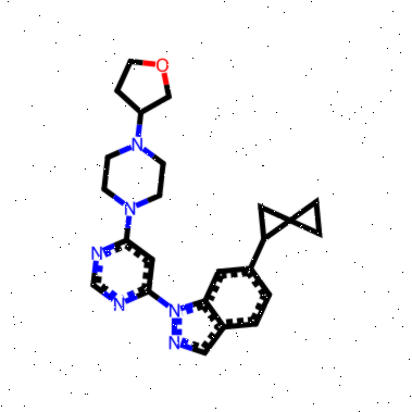 c1nc(N2CCN(C3CCOC3)CC2)cc(-n2ncc3ccc(C4CC45CC5)cc32)n1